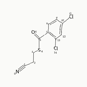 N#CCCSC(=O)c1ccc(Cl)cc1Cl